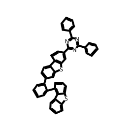 c1ccc(-c2nc(-c3ccccc3)nc(-c3ccc4c(c3)sc3cc(-c5ccccc5-c5cccc6sc7ccccc7c56)ccc34)n2)cc1